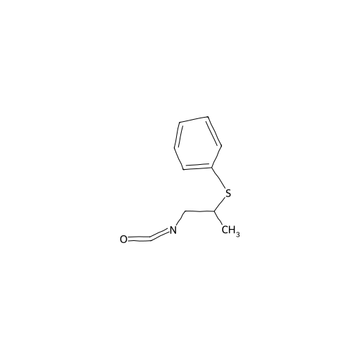 CC(CN=C=O)Sc1ccccc1